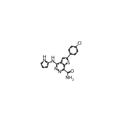 NC(=O)c1nnc(Nc2ccc[nH]2)c2cc(-c3ccc(Cl)cc3)sc12